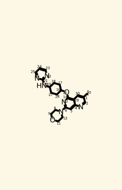 Ic1cnc2cc(N3CCOCC3)nc(OC3CCC(Nc4ncccn4)CC3)c2c1